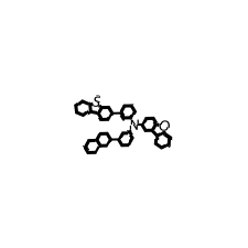 c1cc(-c2ccc3ccccc3c2)cc(N(c2cccc(-c3ccc4c(c3)sc3ccccc34)c2)c2ccc3oc4ccccc4c3c2)c1